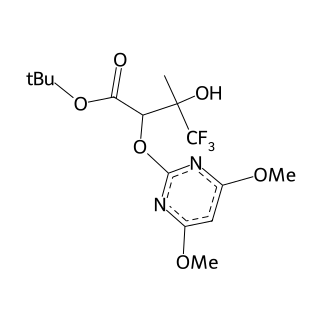 COc1cc(OC)nc(OC(C(=O)OC(C)(C)C)C(C)(O)C(F)(F)F)n1